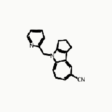 N#CC1=CCC=c2c(c3c(n2Cc2ccccn2)CCC3)=C1